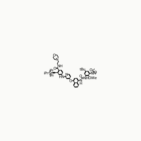 COc1c(NC(=O)Nc2ccc(Oc3ccnc(Nc4ccc(C(=O)NCCN5CCOCC5)c(C#C[Si](C(C)C)(C(C)C)C(C)C)c4)c3)c3ccccc23)cc(C(C)(C)C)cc1NS(C)(=O)=O